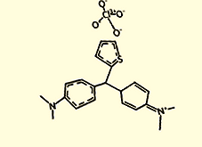 CN(C)c1ccc(C(c2cccs2)C2C=CC(=[N+](C)C)C=C2)cc1.[O-][Cl+3]([O-])([O-])[O-]